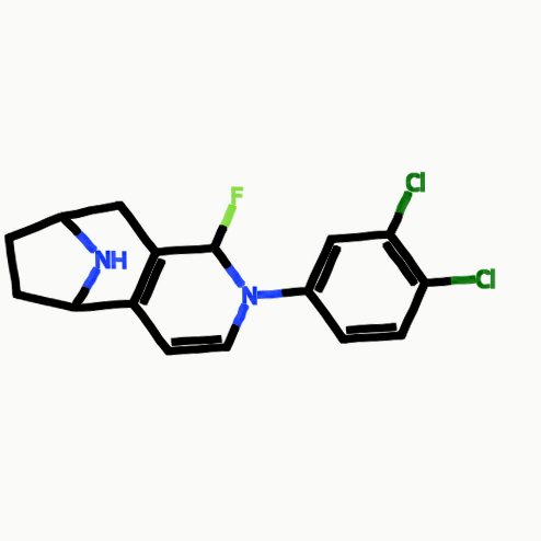 FC1C2=C(C=CN1c1ccc(Cl)c(Cl)c1)C1CCC(C2)N1